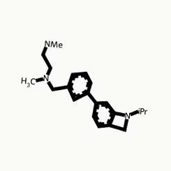 CNCCN(C)Cc1cccc(-c2ccc3c(c2)N(C(C)C)C3)c1